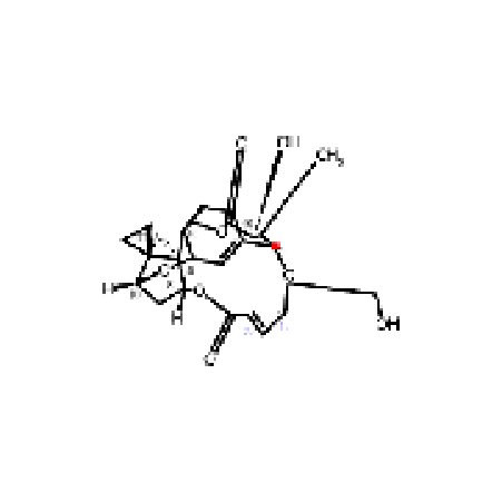 CC1CCOC(CO)/C=C/C=C\C(=O)O[C@@H]2C[C@H]3OC4C=C(I)CC[C@]4(COC(=O)[C@@H]1O)[C@]2(C)C31CC1